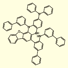 B1c2ccc(N(c3ccccc3)c3ccccc3)cc2N(c2cccc(-c3ccccc3)c2)c2c1c(-c1cc(-c3ccccc3)ccc1Nc1cccc(-c3ccccc3)c1)cc1c2oc2ccccc21